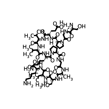 CC(C)[C@H](NC(=O)[C@H](CO)NC(=O)[C@H](C)NC(=O)CNC(=O)[C@@H]1CCCN1C(=O)[C@H](CCCCN)NC(=O)[C@@H](NC(=O)[C@@H](NC(=O)[C@H](CCC(=O)O)NC(=O)[C@@H]1CCCN1C(=O)CNC(=O)[C@@H](N)CO)C(C)C)C(C)C)C(=O)N[C@@H](CCCCN)C(=O)O